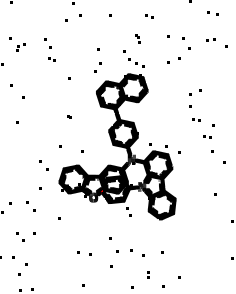 c1ccc(-n2c3ccccc3c3cccc(N(c4ccc(-c5cccc6ccccc56)cc4)c4ccc5oc6ccccc6c5c4)c32)cc1